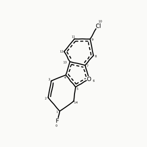 FC1C=Cc2c(oc3cc(Cl)ccc23)C1